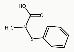 CN(Sc1ccccc1)C(=O)O